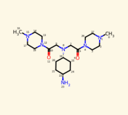 CN1CCN(C(=O)CN(CC(=O)N2CCN(C)CC2)[C@H]2CC[C@H](N)CC2)CC1